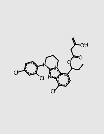 C=C(O)CC(=O)OC(CC)c1ccc(Cl)c2nc3n(c12)CCCN3c1ccc(Cl)cc1Cl